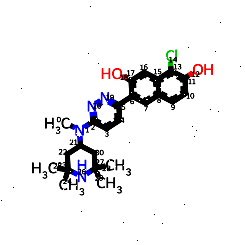 CN(c1ccc(-c2cc3ccc(O)c(Cl)c3cc2O)nn1)C1CC(C)(C)NC(C)(C)C1